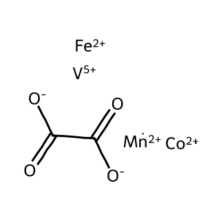 O=C([O-])C(=O)[O-].[Co+2].[Fe+2].[Mn+2].[V+5]